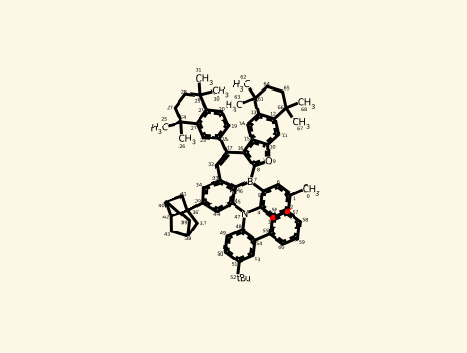 Cc1ccc2c(c1)B1c3oc4cc5c(cc4c3C(c3ccc4c(c3)C(C)(C)CCC4(C)C)=Cc3cc(C46CC7CC(C4)C6C7)cc(c31)N2c1ccc(C(C)(C)C)cc1-c1ccccc1)C(C)(C)CCC5(C)C